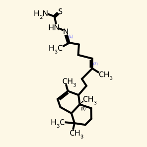 CC1=CCC2C(C)(C)CCC[C@]2(C)C1CC/C(C)=C\CC/C(C)=N/NC(N)=S